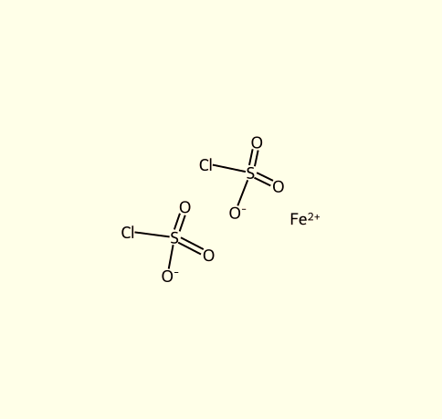 O=S(=O)([O-])Cl.O=S(=O)([O-])Cl.[Fe+2]